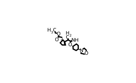 C=C(C(=N)O[C@H]1CC[C@H](N2CCOCC2)CC1)C1=CCC[C@@H]1CC(=O)OCC